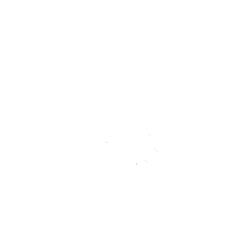 COc1cc2c(N(Br)c3ccccc3F)ncnc2cc1OCc1ccccc1.Cl